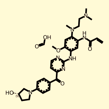 C=CC(=O)Nc1cc(Nc2nccc(C(=O)c3ccc(N4CC[C@H](O)C4)cc3)n2)c(OC)cc1N(C)CCN(C)C.O=CO